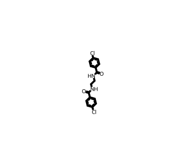 O=C(NCCNC(=O)c1ccc(Cl)cc1)c1ccc(Cl)cc1